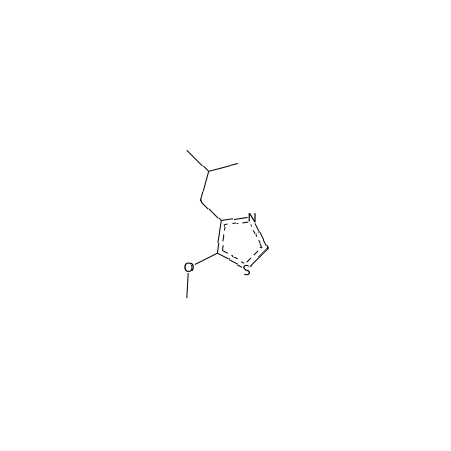 COc1scnc1CC(C)C